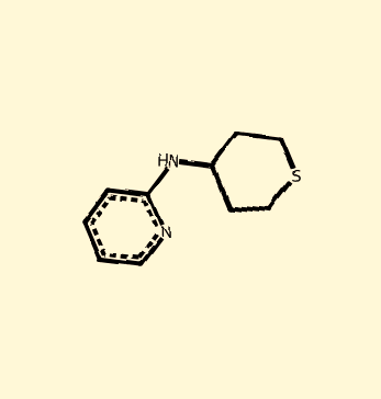 c1ccc(NC2CCSCC2)nc1